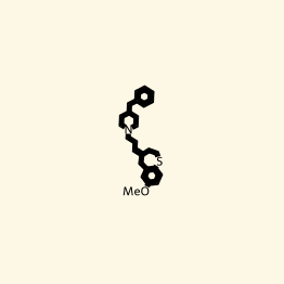 COc1ccc2c(c1)CC(=CCCN1CCC(Cc3ccccc3)CC1)CCS2